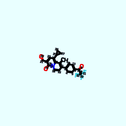 Cc1c(-c2ccc(C(=O)C(F)(F)F)cc2)ccn2c(=O)c(C=O)cc(C3CC3)c12